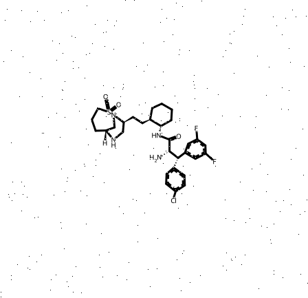 N[C@H](C(=O)N[C@H]1CCCC[C@@H]1CC[C@H]1CN[C@@H]2CCCS(=O)(=O)N1C2)[C@@H](c1ccc(Cl)cc1)c1cc(F)cc(F)c1